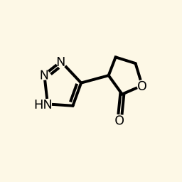 O=C1OCCC1c1c[nH]nn1